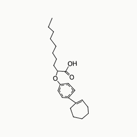 CCCCCCCCC(Oc1ccc(C2=CCCCCC2)cc1)C(=O)O